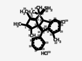 CC1=C(C)C(C)[C]([Zr]([CH3])([CH3])(=[SiH2])[CH]2C=C(c3ccccc3)c3c(C)cccc32)=C1C.Cl.Cl